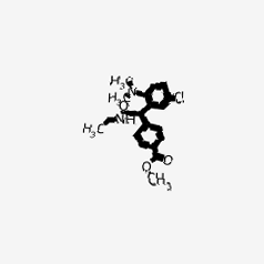 CCNC(=O)C(c1ccc(C(=O)OC)cc1)c1cc(Cl)ccc1N(C)C